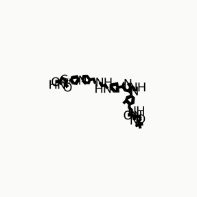 Cc1cc(-c2n[nH]c3ncc(-c4ccc(NCCNCCC5CCN(c6ccc([C@H]7CCC(=O)NC7=O)cc6)CC5)cc4)cc23)ccc1CNC(=O)c1noc(C(C)(C)C)n1